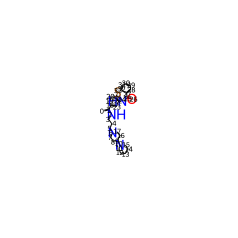 C=C(NCCCN1CCC(N2CCCCC2)CC1)c1ccc2c(c1)NC(=O)c1ccccc1S2